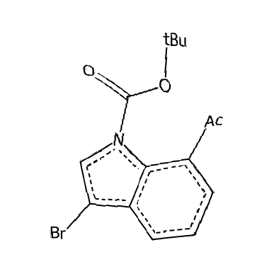 CC(=O)c1cccc2c(Br)cn(C(=O)OC(C)(C)C)c12